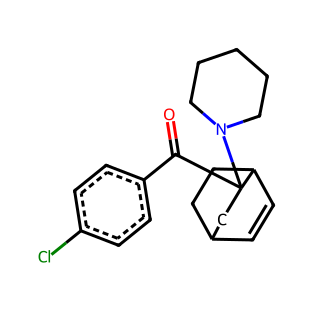 O=C(c1ccc(Cl)cc1)C1(N2CCCCC2)CC2C=CC1CC2